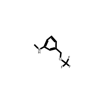 CNc1cccc(COC(F)(F)F)c1